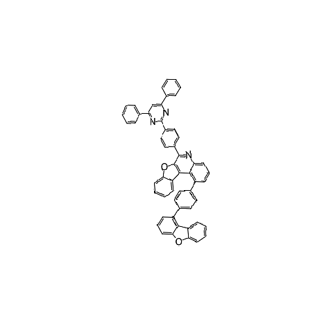 c1ccc(-c2cc(-c3ccccc3)nc(-c3ccc(-c4nc5cccc(-c6ccc(-c7cccc8oc9ccccc9c78)cc6)c5c5c4oc4ccccc45)cc3)n2)cc1